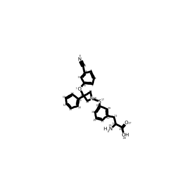 N#Cc1cccc(OC2(c3ccccc3)CN(Sc3cccc(CC(N)C(=O)O)c3)C2)c1